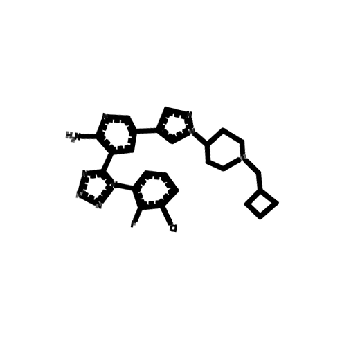 Nc1ncc(-c2cnn(C3CCN(CC4CCC4)CC3)c2)cc1-c1nnnn1-c1cccc(Cl)c1F